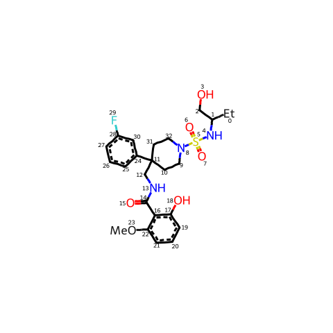 CCC(CO)NS(=O)(=O)N1CCC(CNC(=O)c2c(O)cccc2OC)(c2cccc(F)c2)CC1